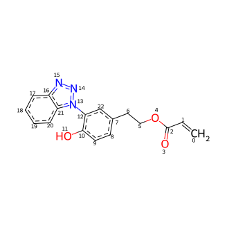 C=CC(=O)OCCc1ccc(O)c(-n2nnc3ccccc32)c1